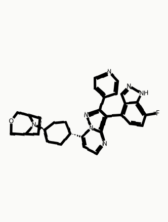 Fc1ccc(-c2c(-c3ccncc3)nn3c2nccc3[C@H]2CC[C@H](N3C4CCC3COC4)CC2)c2cn[nH]c12